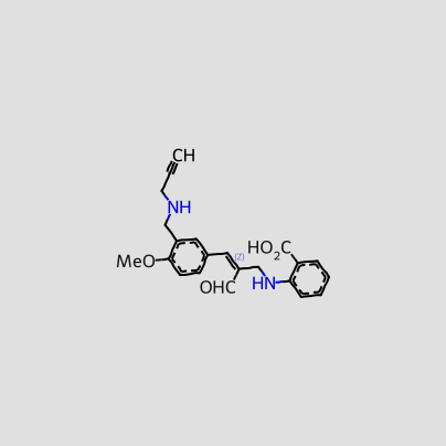 C#CCNCc1cc(/C=C(\C=O)CNc2ccccc2C(=O)O)ccc1OC